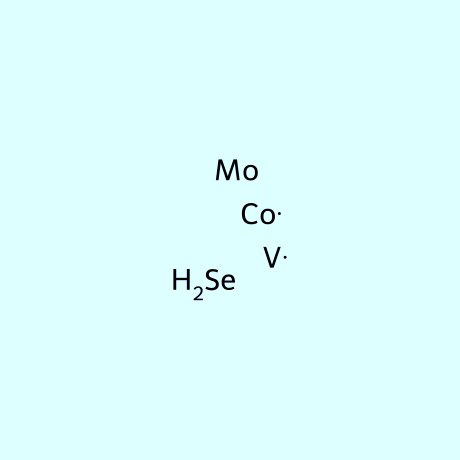 [Co].[Mo].[SeH2].[V]